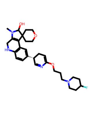 CN1C2=C(c3cc([C@H]4C=NC(OCCCN5CCC(F)CC5)=CC4)ccc3NC2)C2(CCOCC2)C1O